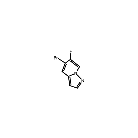 Fc1cn2nccc2cc1Br